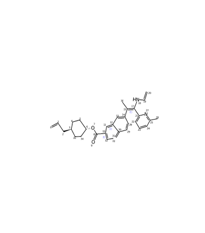 C=CC[C@H]1CC[C@H](OC(=O)C(/C=c2/cc(/C(C)=C(/NC=C)c3cccc(C)n3)ccc2=C)=C/C)CC1